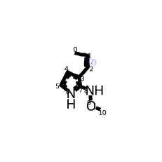 C/C=C\c1cc[nH]c1NOC